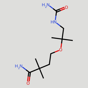 CC(C)(CNC(N)=O)OCCC(C)(C)C(N)=O